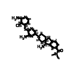 CN(C)C(=O)c1ccc2c(c1)[C@@H](N)C1(CCN(c3cnc(Sc4ccnc(N)c4Cl)c(N)n3)CC1)C2